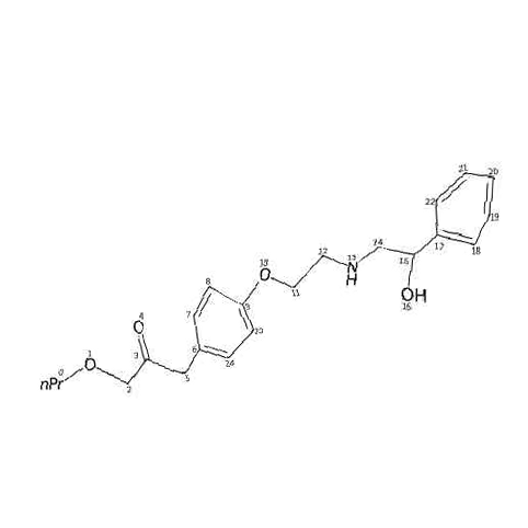 CCCOCC(=O)Cc1ccc(OCCNCC(O)c2ccccc2)cc1